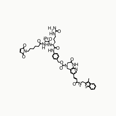 Cc1c(CN(C)C(=O)/C=C/c2cnc3c(c2)CN(C(=O)OCc2ccc(NC(=O)[C@H](CCCNC(N)=O)NC(=O)[C@@H](NC(=O)CCCCCN4C(=O)C=CC4=O)C(C)C)cc2)CC(=O)N3)sc2ccccc12